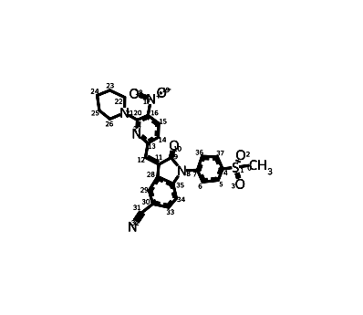 CS(=O)(=O)c1ccc(N2C(=O)C(=Cc3ccc([N+](=O)[O-])c(N4CCCCC4)n3)c3cc(C#N)ccc32)cc1